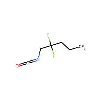 O=C=NCC(F)(F)CCC(F)(F)F